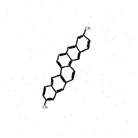 N#Cc1ccc2cc3c(ccc4c5cc6ccc(C#N)cc6cc5ccc34)cc2c1